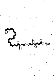 CC/C=C\C/C=C\C/C=C\C/C=C\C/C=C\C/C=C\CCC(=O)NCCSSCCNC(=O)/C=C/C(=O)OC